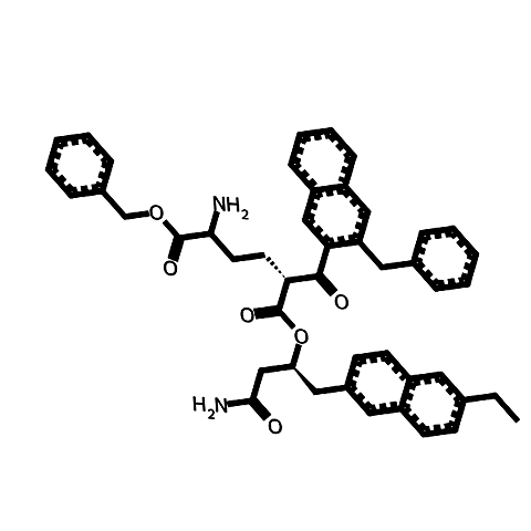 CCc1ccc2cc(C[C@@H](CC(N)=O)OC(=O)[C@H](CCC(N)C(=O)OCc3ccccc3)C(=O)c3cc4ccccc4cc3Cc3ccccc3)ccc2c1